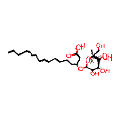 CCCCCCCCCCCCCC(CC(=O)O)OC1O[C@](C)(CO)[C@@H](O)[C@H](O)[C@H]1O